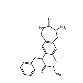 Cc1cc2c(cc1N(Cc1ccccc1)C(=O)OC(C)(C)C)CNC(=O)C(N)C2